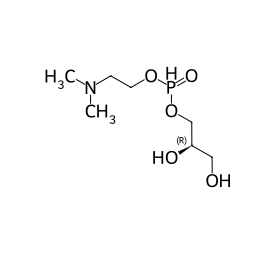 CN(C)CCO[PH](=O)OC[C@H](O)CO